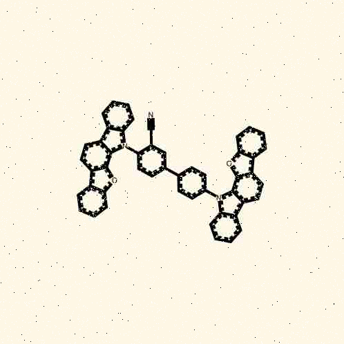 N#Cc1cc(-c2ccc(-n3c4ccccc4c4ccc5c6ccccc6oc5c43)cc2)ccc1-n1c2ccccc2c2ccc3c4ccccc4oc3c21